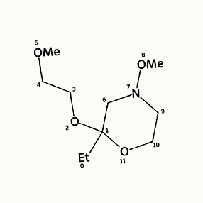 CCC1(OCCOC)CN(OC)CCO1